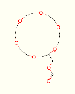 O=COCC1COCCOCCOCCOCCOCCO1